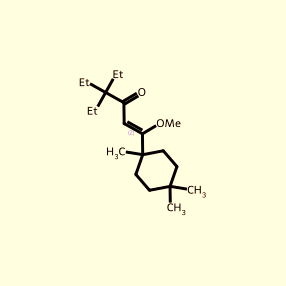 CCC(CC)(CC)C(=O)/C=C(\OC)C1(C)CCC(C)(C)CC1